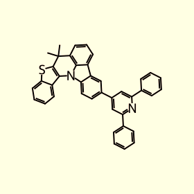 CC1(C)c2sc3ccccc3c2-n2c3ccc(-c4cc(-c5ccccc5)nc(-c5ccccc5)c4)cc3c3cccc1c32